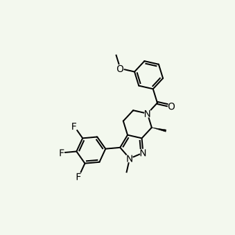 COc1cccc(C(=O)N2CCc3c(nn(C)c3-c3cc(F)c(F)c(F)c3)[C@@H]2C)c1